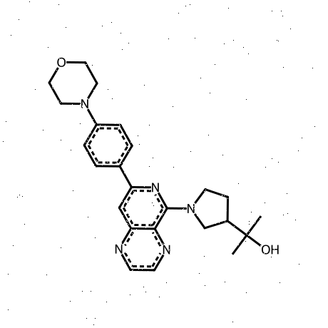 CC(C)(O)C1CCN(c2nc(-c3ccc(N4CCOCC4)cc3)cc3nccnc23)C1